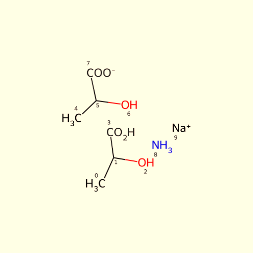 CC(O)C(=O)O.CC(O)C(=O)[O-].N.[Na+]